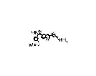 COCc1cccc(-c2[nH]cnc2-c2ccc3ncc(-c4cnn(CCN)c4)cc3c2)c1